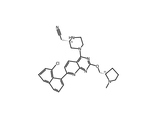 CN1CCC[C@H]1COc1nc(N2CCN[C@@H](CC#N)C2)c2ccc(-c3cccc4cccc(Cl)c34)nc2n1